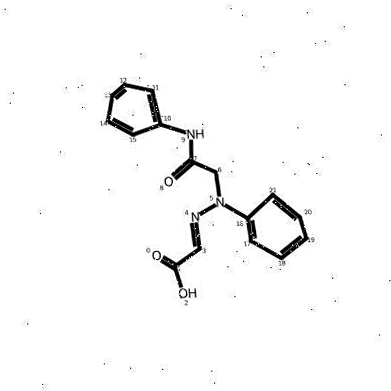 O=C(O)C=NN(CC(=O)Nc1ccccc1)c1ccccc1